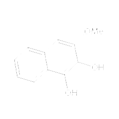 COc1cc2ccccc2c(O)c1O